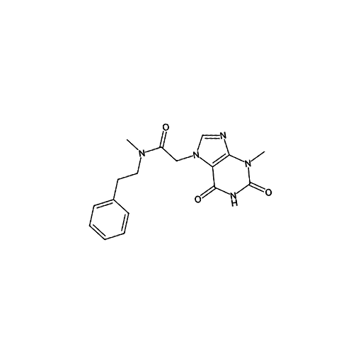 CN(CCc1ccccc1)C(=O)Cn1cnc2c1c(=O)[nH]c(=O)n2C